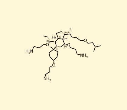 CC[C@@H](OCCCN)C1[C@@H]2CC[C@H]([C@H](C)CCCOCCC(C)C)C2(C)[C@@H](OCCCN)C[C@@H]1[C@]1(C)CC[C@H](OCCCN)CC1